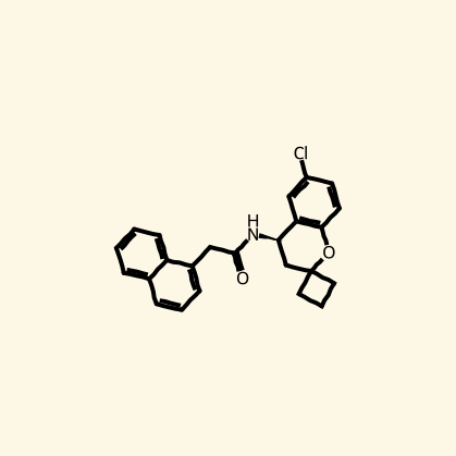 O=C(Cc1cccc2ccccc12)N[C@@H]1CC2(CCC2)Oc2ccc(Cl)cc21